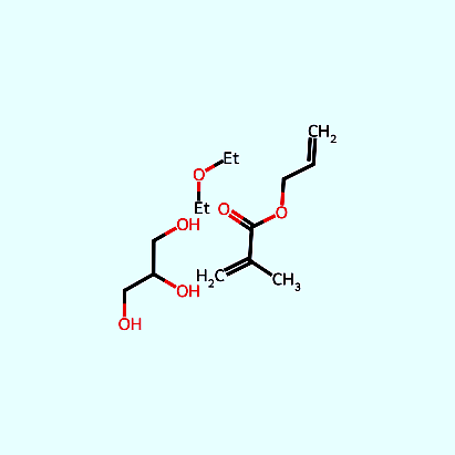 C=CCOC(=O)C(=C)C.CCOCC.OCC(O)CO